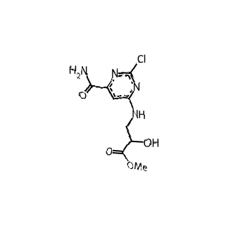 COC(=O)C(O)CNc1cc(C(N)=O)nc(Cl)n1